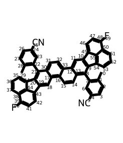 Cc1ccc(C#N)cc1-c1c2c(cc3c1ccc1c4cc5c(c(-c6cc(C#N)ccc6C)c4ccc31)-c1cccc3c(F)ccc-5c13)-c1ccc(F)c3cccc-2c13